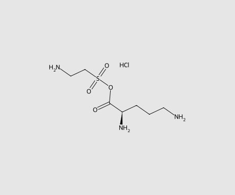 Cl.NCCC[C@@H](N)C(=O)OS(=O)(=O)CCN